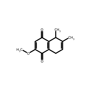 COC1=CC(=O)C2=C(CC=C(C)C2C)C1=O